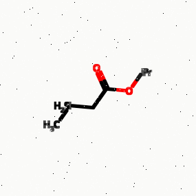 C[SiH2]CC(=O)OC(C)C